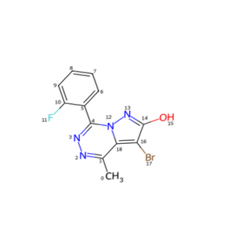 Cc1nnc(-c2ccccc2F)n2nc(O)c(Br)c12